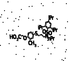 CCCN(CCCSc1ccc(OCC(=O)O)c(C)c1)S(=O)(=O)c1c(C(C)C)cc(C(C)C)cc1C(C)C